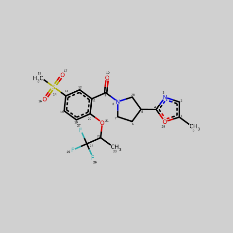 Cc1cnc(C2CCN(C(=O)c3cc(S(C)(=O)=O)ccc3OC(C)C(F)(F)F)C2)o1